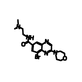 CN(C)CCNC(=O)c1cc(Br)c2nc(N3CCOCC3)cnc2c1